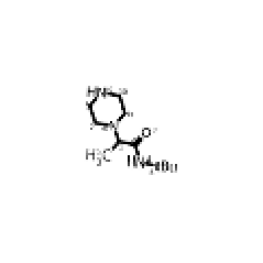 CC(C(=O)NC(C)(C)C)N1CCNCC1